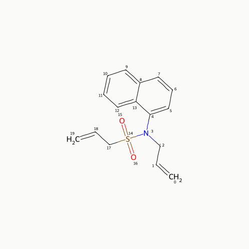 C=C[CH]N(c1cccc2ccccc12)S(=O)(=O)CC=C